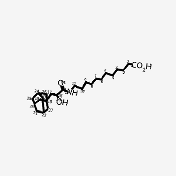 O=C(O)CCCCCCCCCCCNC(=O)C(O)CC12CC3CC(CC(C3)C1)C2